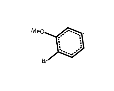 COc1c[c]ccc1Br